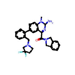 CN1c2ccc(-c3ccccc3CN3CCC(F)(F)C3)cc2C(C(=O)N2Cc3ccccc3C2)=NC1N